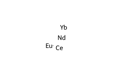 [Ce].[Eu].[Nd].[Yb]